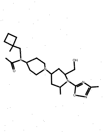 CC(=O)N(CC1(C)CCC1)C1CCN(C2CC(C)N(c3nc(C)no3)C(CO)C2)CC1